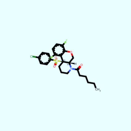 CCCCCC(=O)N1CCC[C@]2(S(=O)(=O)c3ccc(Cl)cc3)c3c(F)ccc(F)c3OC[C@H]12